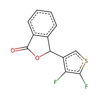 O=C1OC(c2csc(F)c2F)c2ccccc21